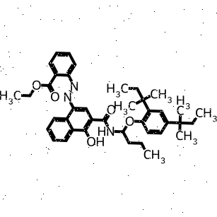 CCCC(NC(=O)c1cc(N=Nc2ccccc2C(=O)OCC)c2ccccc2c1O)Oc1ccc(C(C)(C)CC)cc1C(C)(C)CC